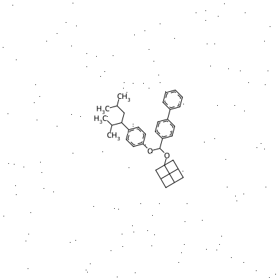 CC(C)CC(c1ccc(OC(OC23CC4CC5CC(C2)C543)c2ccc(-c3ccccc3)cc2)cc1)C(C)C